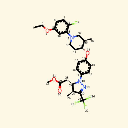 CCOc1ccc(F)c(N2CC[C@@H](Oc3ccc(N4N=C(C(F)(F)F)[C@@H](C)[C@@H]4CC(=O)OC)cc3)[C@H](C)C2)c1